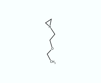 CCOCCN1CC1